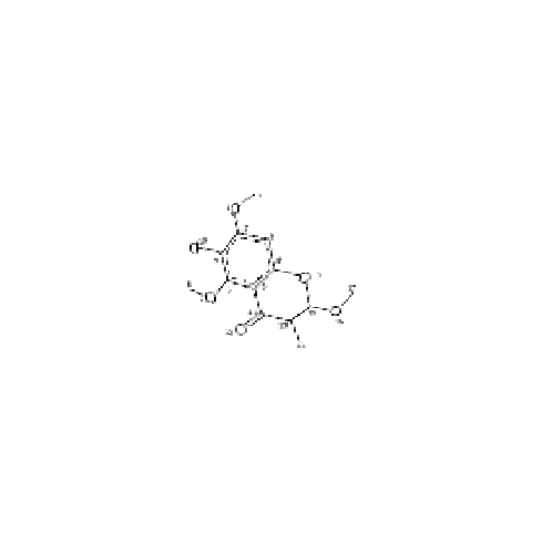 COc1cc2c(c(OC)c1Cl)C(=O)C(C)C(OC)O2